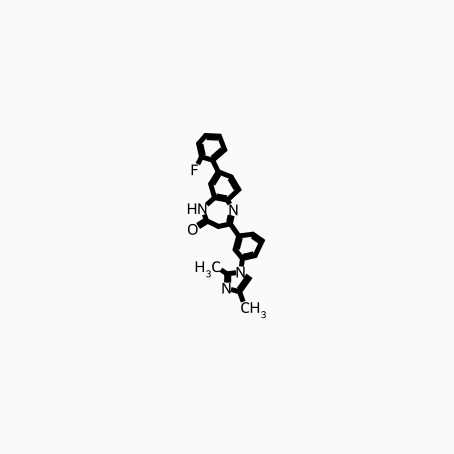 Cc1cn(-c2cccc(C3=Nc4ccc(-c5ccccc5F)cc4NC(=O)C3)c2)c(C)n1